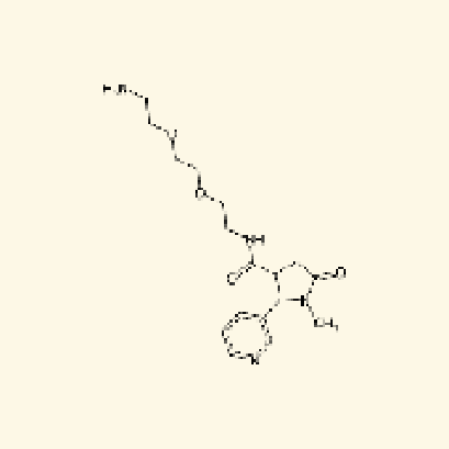 CN1C(=O)CC(C(=O)NCCOCCOCCN)C1c1cccnc1